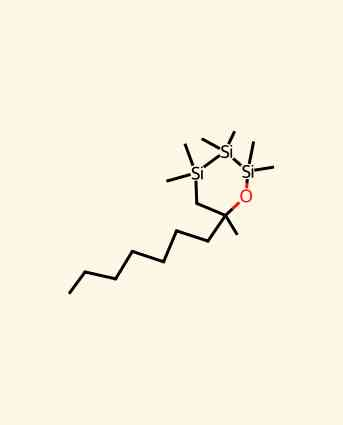 CCCCCCCC1(C)C[Si](C)(C)[Si](C)(C)[Si](C)(C)O1